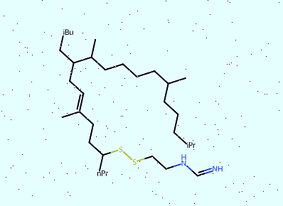 CCCC(CC/C(C)=C/CC(CC(C)CC)C(C)CCCCC(C)CCCC(C)C)SSCCNC=N